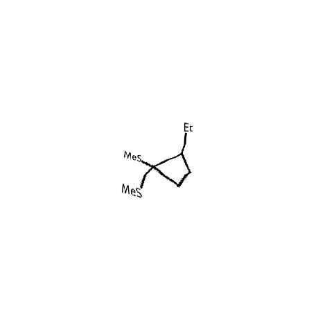 CCC1CCC1(SC)SC